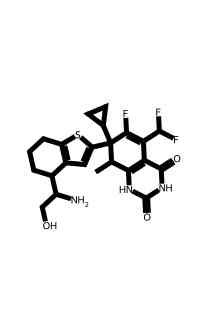 CC1c2[nH]c(=O)[nH]c(=O)c2C(C(F)F)=C(F)C1(c1cc2c(s1)CCCC2C(N)CO)C1CC1